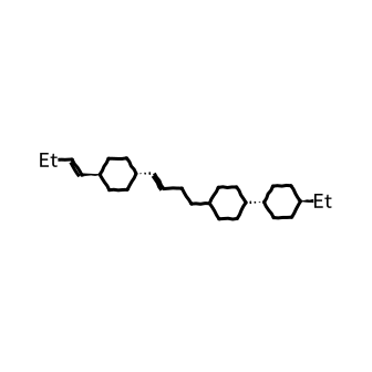 CC/C=C/[C@H]1CC[C@H](/C=C/CCC2CCC([C@H]3CC[C@H](CC)CC3)CC2)CC1